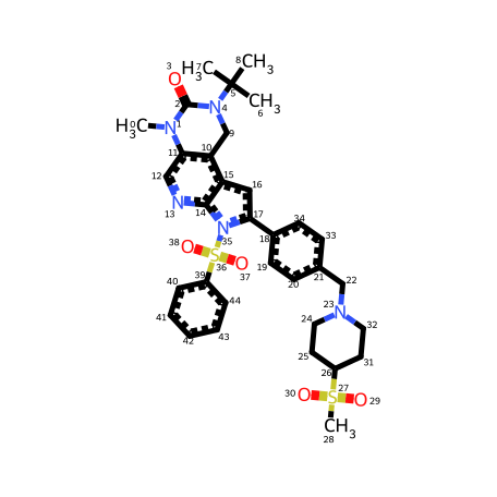 CN1C(=O)N(C(C)(C)C)Cc2c1cnc1c2cc(-c2ccc(CN3CCC(S(C)(=O)=O)CC3)cc2)n1S(=O)(=O)c1ccccc1